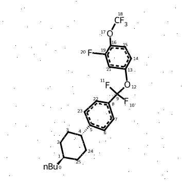 CCCC[C@H]1CC[C@H](c2ccc(C(F)(F)Oc3ccc(OC(F)(F)F)c(F)c3)cc2)CC1